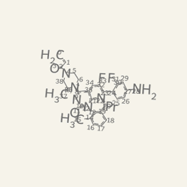 C=CC(=O)N1CCN(c2nc(=O)n(-c3c(C)cccc3C(C)C)c3nc(-c4ccc(N)cc4F)c(F)cc23)[C@@H](C)C1